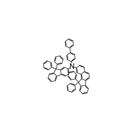 c1ccc(-c2ccc(N(c3ccc4c(c3)C(c3ccccc3)(c3ccccc3)c3ccccc3-4)c3ccc4ccc5c(c4c3)C(c3ccccc3)(c3ccccc3)c3ccccc3-5)cc2)cc1